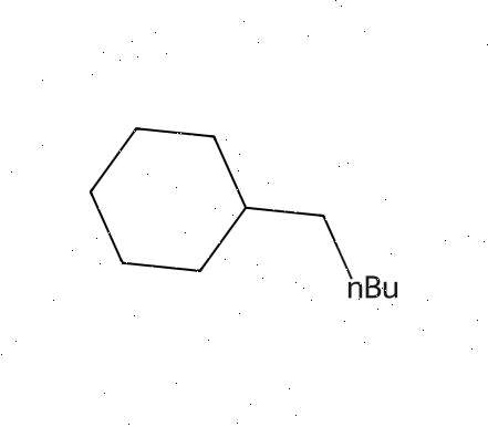 C[CH]CCCC1CCCCC1